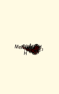 CN[C@@H](CCCCNC(=O)Cc1cn(COC(=O)COCC(=O)O[C@@H](C(=O)O[C@H]2C[C@@]3(O)[C@@H](OC(=O)c4ccccc4)[C@@H]4[C@]5(OC(C)=O)CC[C@@H]5CC[C@@]4(C)C(=O)[C@H](OC(C)=O)C(=C2C)C3(C)C)[C@@H](NC(=O)c2ccccc2)c2ccccc2)nn1)C(=O)O